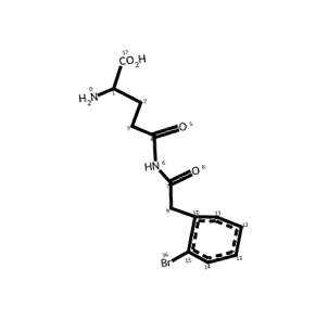 NC(CCC(=O)NC(=O)Cc1ccccc1Br)C(=O)O